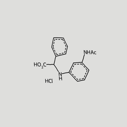 CC(=O)Nc1cccc(NC(C(=O)O)c2ccccc2)c1.Cl